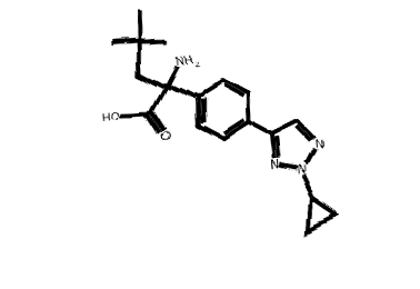 CC(C)(C)CC(N)(C(=O)O)c1ccc(-c2cnn(C3CC3)n2)cc1